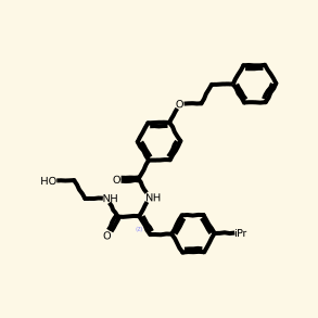 CC(C)c1ccc(/C=C(\NC(=O)c2ccc(OCCc3ccccc3)cc2)C(=O)NCCO)cc1